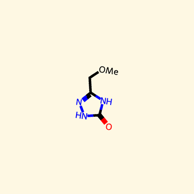 COCc1n[nH]c(=O)[nH]1